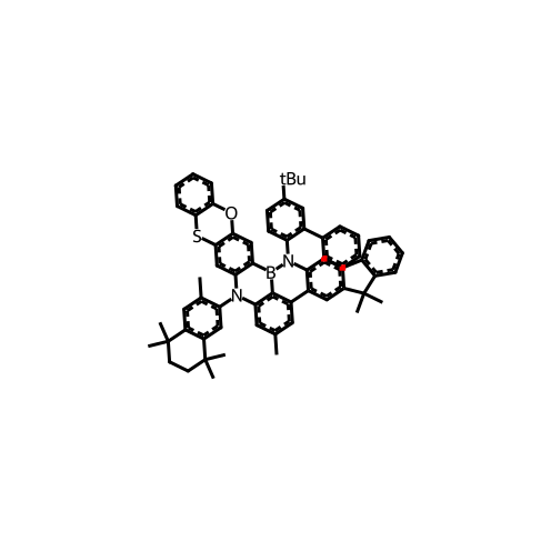 Cc1cc2c3c(c1)N(c1cc4c(cc1C)C(C)(C)CCC4(C)C)c1cc4c(cc1B3N(c1ccc(C(C)(C)C)cc1-c1ccccc1)c1cc3c(cc1-2)C(C)(C)c1ccccc1-3)Oc1ccccc1S4